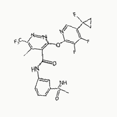 Cc1c(C(F)(F)F)nnc(Oc2ncc(C3(F)CC3)c(F)c2F)c1C(=O)Nc1cccc(S(C)(=N)=O)c1